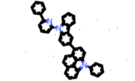 c1ccc(-c2cccc(-n3c4ccccc4c4cc(-c5ccc6c7c5ccc5cccc(c57)n6-c5ccccc5)ccc43)n2)cc1